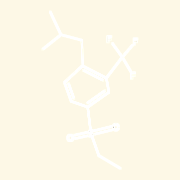 CCS(=O)(=O)c1ccc(CC(C)C)c(C(F)(F)F)c1